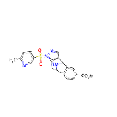 O=C(O)c1ccc2c(c1)C1NC2Cc2c1cnn2S(=O)(=O)c1ccc(C(F)(F)F)nc1